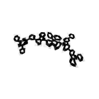 c1ccc(-c2ccc3c(c2)c2cc(-c4ccc5c(c4)c4ccccc4n5-c4ccccc4)ccc2n3-c2ccc3c(c2)C(c2ccccc2)(c2ccccc2)c2cc(-n4c5ccccc5c5c(-c6cccc(-c7nc(-c8ccccc8)nc(-c8ccccc8)n7)c6)cccc54)ccc2-3)cc1